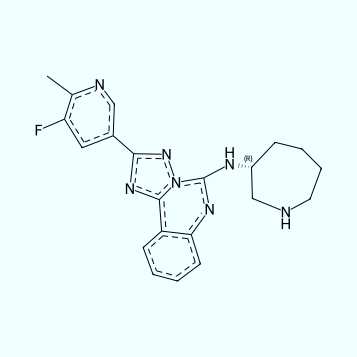 Cc1ncc(-c2nc3c4ccccc4nc(N[C@@H]4CCCCNC4)n3n2)cc1F